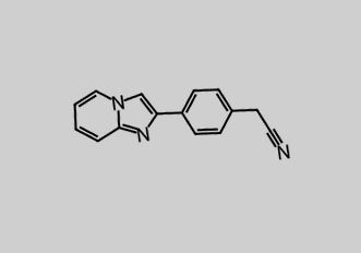 N#CCc1ccc(-c2cn3ccccc3n2)cc1